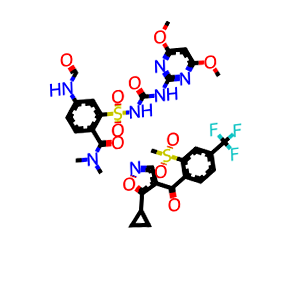 COc1cc(OC)nc(NC(=O)NS(=O)(=O)c2cc(NC=O)ccc2C(=O)N(C)C)n1.CS(=O)(=O)c1cc(C(F)(F)F)ccc1C(=O)c1cnoc1C1CC1